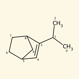 CC(C)C1=CC2CCC1C2